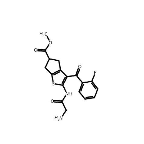 COC(=O)C1Cc2sc(NC(=O)CN)c(C(=O)c3ccccc3F)c2C1